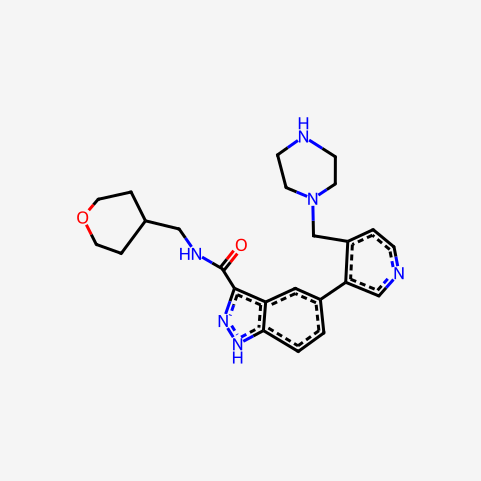 O=C(NCC1CCOCC1)c1n[nH]c2ccc(-c3cnccc3CN3CCNCC3)cc12